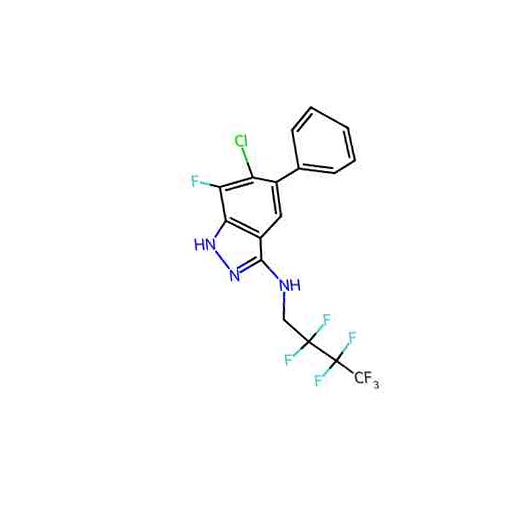 Fc1c(Cl)c(-c2ccccc2)cc2c(NCC(F)(F)C(F)(F)C(F)(F)F)n[nH]c12